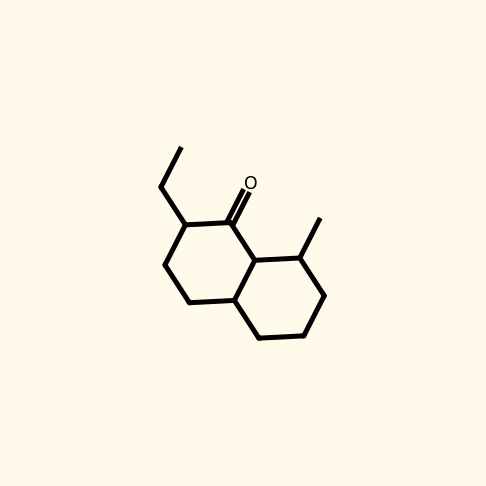 CCC1CCC2CCCC(C)C2C1=O